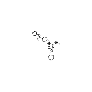 NC(=NC(=O)OCc1ccccc1)NC[C@H]1CC[C@H](C(=O)Oc2ccccc2)CC1